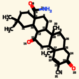 CC1(C)CCC2(C(N)=O)CCC3C(C(=O)CC4C5(C)C=C(C#N)C(=O)CC5CCC34C)C2C1